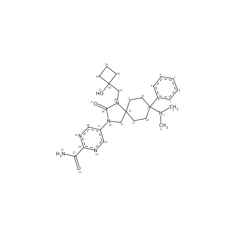 CN(C)C1(c2ccccc2)CCC2(CC1)CN(c1cnc(C(N)=O)nc1)C(=O)N2CC1(O)CCC1